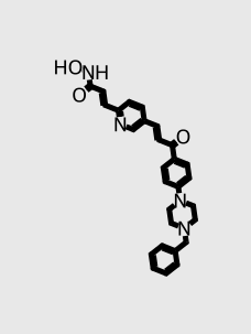 O=C(C=Cc1ccc(C=CC(=O)c2ccc(N3CCN(Cc4ccccc4)CC3)cc2)cn1)NO